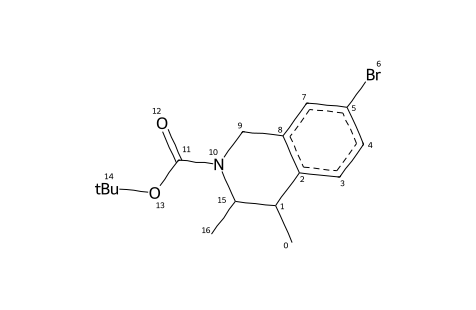 CC1c2ccc(Br)cc2CN(C(=O)OC(C)(C)C)C1C